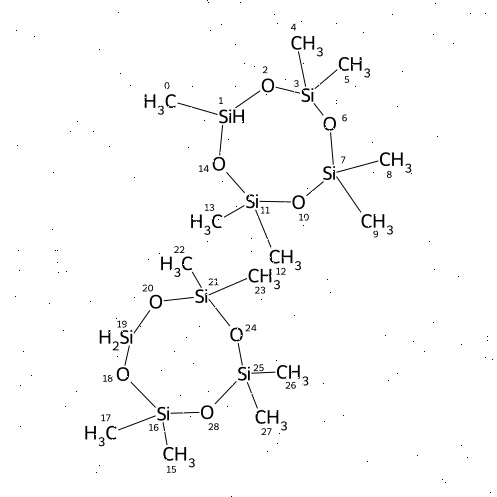 C[SiH]1O[Si](C)(C)O[Si](C)(C)O[Si](C)(C)O1.C[Si]1(C)O[SiH2]O[Si](C)(C)O[Si](C)(C)O1